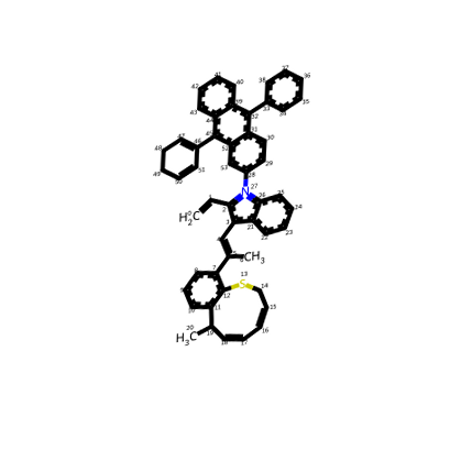 C=Cc1c(/C=C(\C)c2cccc3c2SC/C=C\C=C/C3C)c2ccccc2n1-c1ccc2c(-c3ccccc3)c3ccccc3c(C3=CCCC=C3)c2c1